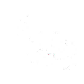 CC1(C)c2ccccc2-c2cccc(-c3ccc(N(c4ccc5c(c4)C4(CCCC4)c4ccccc4-5)c4ccccc4-c4ccc(-c5ccccc5)cc4)cc3)c21